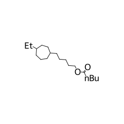 [CH2]CC1CCCC(CCCCCOC(=O)CCCC)CC1